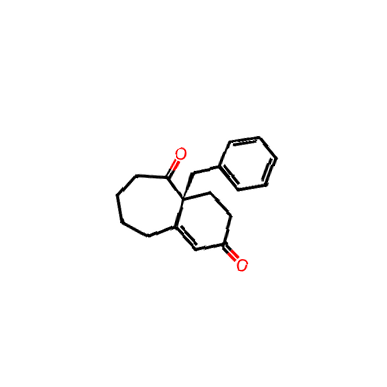 O=C1C=C2CCCCC(=O)[C@]2(Cc2ccccc2)CC1